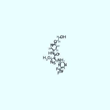 Cc1nsc(Nc2cncc(C(F)(F)F)n2)c1C(=O)Nc1ccc(OCCO)nc1